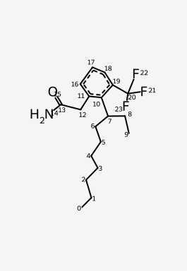 CCCCCCCC(CC)c1c(CC(N)=O)cccc1C(F)(F)F